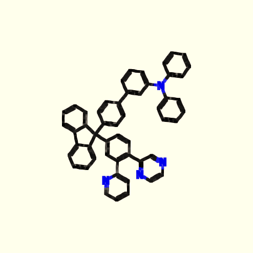 c1ccc(N(c2ccccc2)c2cccc(-c3ccc(C4(c5ccc(-c6cnccn6)c(-c6ccccn6)c5)c5ccccc5-c5ccccc54)cc3)c2)cc1